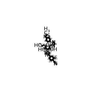 Cc1nc2ccc(-n3ncnc3[C@@H]3O[C@H](CCO)[C@H](O)[C@H](n4cc(-c5ccc(C#N)c(F)c5)nn4)[C@H]3O)cc2s1